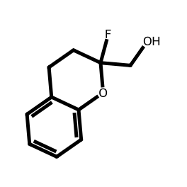 OCC1(F)CCc2ccccc2O1